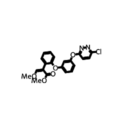 COC=C(C(=O)OC)c1ccccc1Oc1cccc(Oc2ccc(Cl)nn2)c1